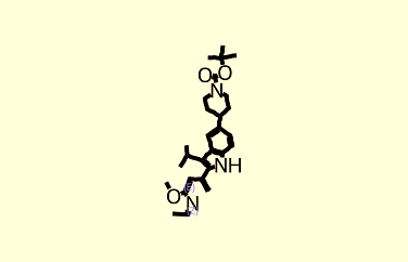 C=C(/C=C(\N=C/C)OC)c1[nH]c2ccc(C3CCN(C(=O)OC(C)(C)C)CC3)cc2c1C(C)C